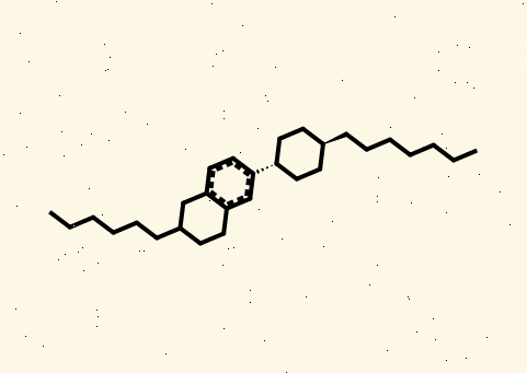 CCCCCCC[C@H]1CC[C@H](c2ccc3c(c2)CCC(CCCCCC)C3)CC1